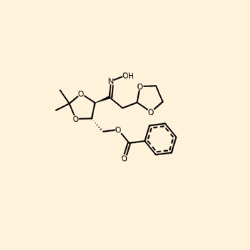 CC1(C)O[C@@H](COC(=O)c2ccccc2)[C@H](/C(CC2OCCO2)=N/O)O1